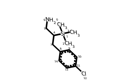 C[Si](C)(C)C(CN)Cc1ccc(Cl)cc1